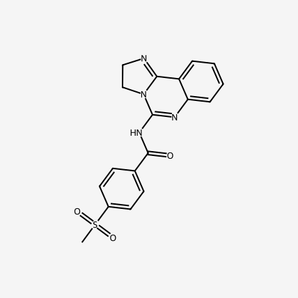 CS(=O)(=O)c1ccc(C(=O)NC2=Nc3ccccc3C3=NCCN23)cc1